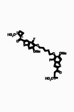 COc1cc2sc(C(=O)C[C@H](C)C(=O)O)cc2c(F)c1OCCCCCOc1c(OC)cc2sc(C(=O)[C@@H]3CC[C@H]3C(=O)O)cc2c1F